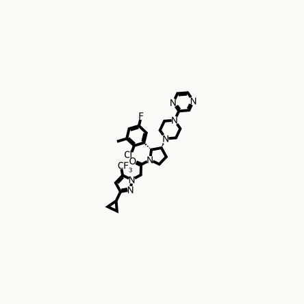 Cc1cc(F)cc([C@@H]2[C@H](N3CCN(c4cnccn4)CC3)CCN2C(=O)Cn2nc(C3CC3)cc2C(F)(F)F)c1Cl